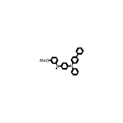 COc1cccc(N(C)c2ccc(N(c3ccccc3)c3ccc(-c4ccccc4)cc3)cc2)c1